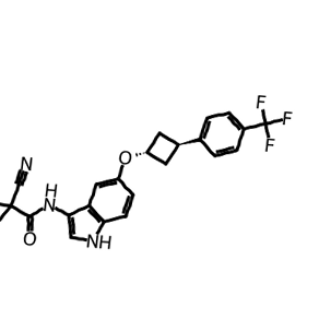 N#CC1(C(=O)Nc2c[nH]c3ccc(O[C@H]4C[C@H](c5ccc(C(F)(F)F)cc5)C4)cc23)CC1